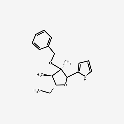 CC[C@H]1OC(c2ccc[nH]2)[C@](C)(OCc2ccccc2)[C@@H]1C